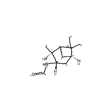 C[C@H]1C2C[C@H](C[C@@H]1NC=O)C2(C)C